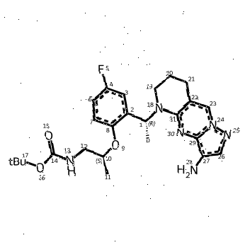 C[C@H](c1cc(F)ccc1O[C@@H](C)CNC(=O)OC(C)(C)C)N1CCCc2cn3ncc(N)c3nc21